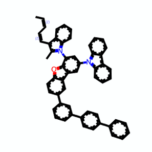 C/C=C\C=C/c1c(C)n(-c2cc(-n3c4ccccc4c4ccccc43)cc3c2oc2ccc(-c4cccc(-c5ccc(-c6ccccc6)cc5)c4)cc23)c2ccccc12